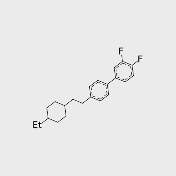 CCC1CCC(CCc2ccc(-c3ccc(F)c(F)c3)cc2)CC1